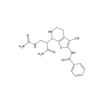 N#Cc1c(NC(=O)c2ccccc2)sc2c1CCNC2C(CNC(N)=O)C(N)=O